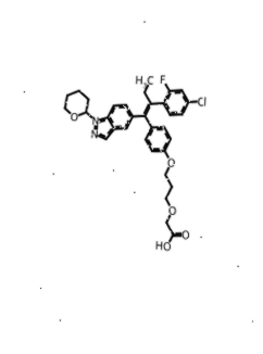 CC/C(=C(/c1ccc(OCCCOCC(=O)O)cc1)c1ccc2c(cnn2C2CCCCO2)c1)c1ccc(Cl)cc1F